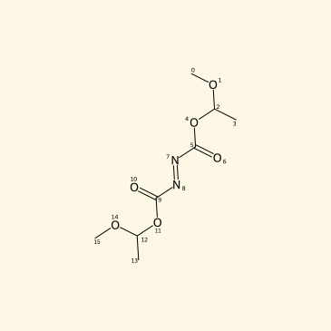 COC(C)OC(=O)N=NC(=O)OC(C)OC